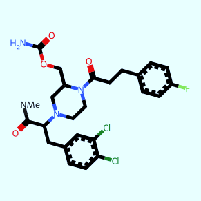 CNC(=O)C(Cc1ccc(Cl)c(Cl)c1)N1CCN(C(=O)[CH]Cc2ccc(F)cc2)C(COC(N)=O)C1